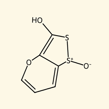 [O-][S+]1SC(O)=C2OC=CC=C21